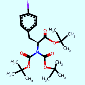 CC(C)(C)OC(=O)[C@H](Cc1ccc(I)cc1)N(C(=O)OC(C)(C)C)C(=O)OC(C)(C)C